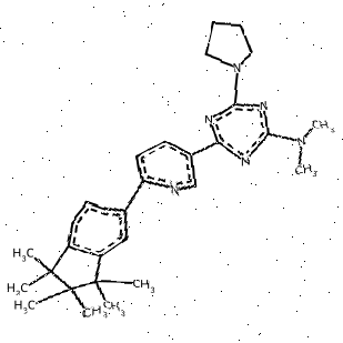 CN(C)c1nc(-c2ccc(-c3ccc4c(c3)C(C)(C)C(C)(C)C4(C)C)nc2)nc(N2CCCC2)n1